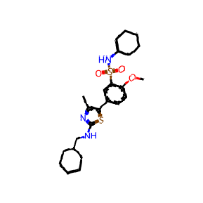 COc1ccc(-c2sc(NCC3CCCCC3)nc2C)cc1S(=O)(=O)NC1CCCCC1